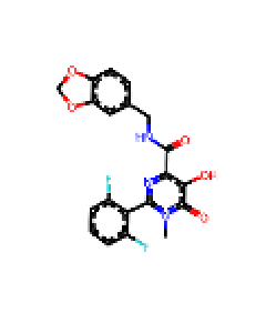 Cn1c(-c2c(F)cccc2F)nc(C(=O)NCc2ccc3c(c2)OCO3)c(O)c1=O